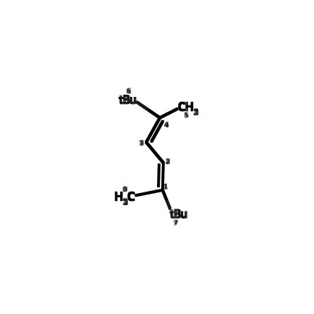 C/C(=C\C=C(/C)C(C)(C)C)C(C)(C)C